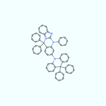 c1ccc(N2c3cc(N4c5ccccc5C(c5ccccc5)(c5ccccc5)c5ccccc54)ccc3C(c3ccccc3)(c3ccccc3)n3c2nc2ccccc23)cc1